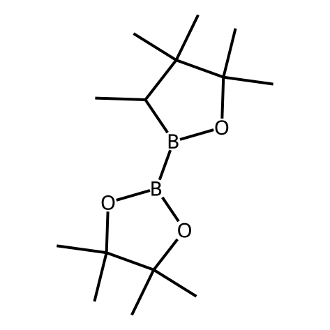 CC1B(B2OC(C)(C)C(C)(C)O2)OC(C)(C)C1(C)C